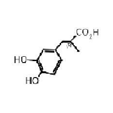 C[C@@H](Cc1ccc(O)c(O)c1)C(=O)O